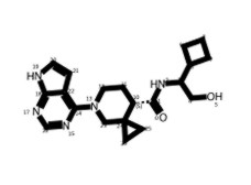 O=C(NC(CO)C1CCC1)[C@H]1CCN(c2ncnc3[nH]ccc23)CC12CC2